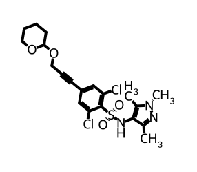 Cc1nn(C)c(C)c1NS(=O)(=O)c1c(Cl)cc(C#CCOC2CCCCO2)cc1Cl